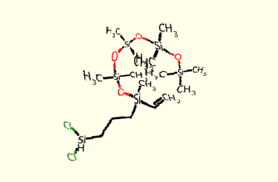 C=C[Si](C)(CCC[SiH](Cl)Cl)O[Si](C)(C)O[Si](C)(C)O[Si](C)(C)O[Si](C)(C)C